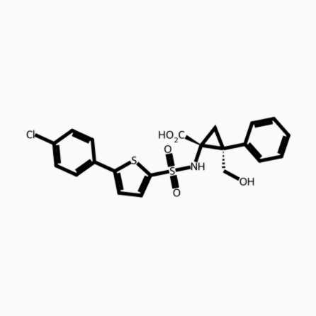 O=C(O)[C@@]1(NS(=O)(=O)c2ccc(-c3ccc(Cl)cc3)s2)C[C@@]1(CO)c1ccccc1